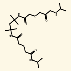 CC(C)NCC(=O)COCC(=O)NC(C)(C)CC(C)(C)NC(=O)COCC(=O)NC(C)C